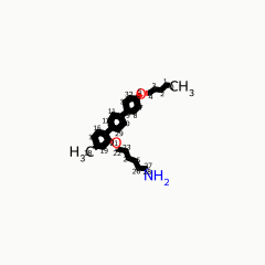 CCCCCOc1ccc(-c2ccc(-c3ccc(C)cc3OCCCCCCN)cc2)cc1